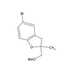 COCC1(C)[CH]c2cc(Br)ccc2O1